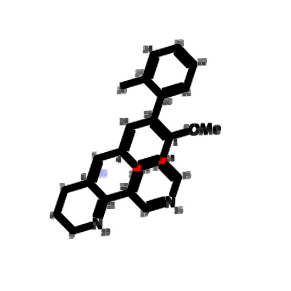 COc1ccc(/C=C2/CCCN=C2c2cccnc2)cc1-c1ccccc1C